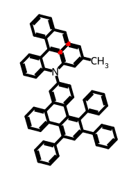 Cc1cccc(N(c2ccc3c(c2)c2ccccc2c2c(-c4ccccc4)cc(-c4ccccc4)c(-c4ccccc4)c32)c2ccccc2-c2cccc3ccccc23)c1